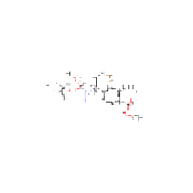 COC(=O)c1ccc2c(c1C)SCC[C@@H]2NC(=O)OC(C)(C)C